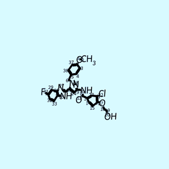 COc1ccc(Cn2nc(NC(=O)c3ccc(OCCO)c(Cl)c3)cc2-c2nc3cc(F)ccc3[nH]2)cc1